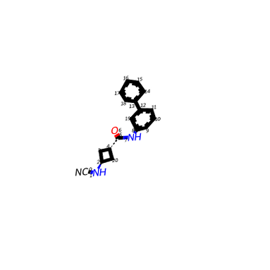 N#CN[C@H]1C[C@H](C(=O)Nc2cccc(-c3ccccc3)c2)C1